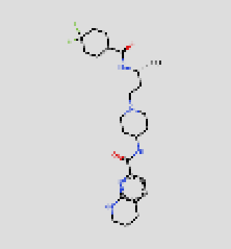 O=C(NC1CCN(CC[C@H](NC(=O)C2CCC(F)(F)CC2)C(=O)O)CC1)c1ccc2c(n1)NCCC2